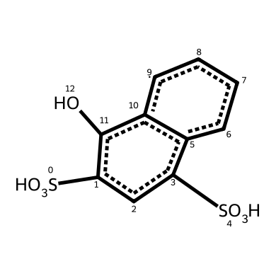 O=S(=O)(O)c1cc(S(=O)(=O)O)c2ccc[c]c2c1O